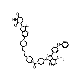 Nc1ncnc2c1c(-c1ccc(Oc3ccccc3)cc1)nn2C1CCN(C(=O)N2CCN(CCCC3CCN(c4ccc5c(c4)CN(C4CCC(=O)NC4=O)C5=O)CC3)CC2)CC1